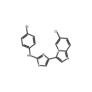 CC(=O)c1ccc(Nc2nc(-c3cnc4ccc(Cl)cn34)cs2)cc1